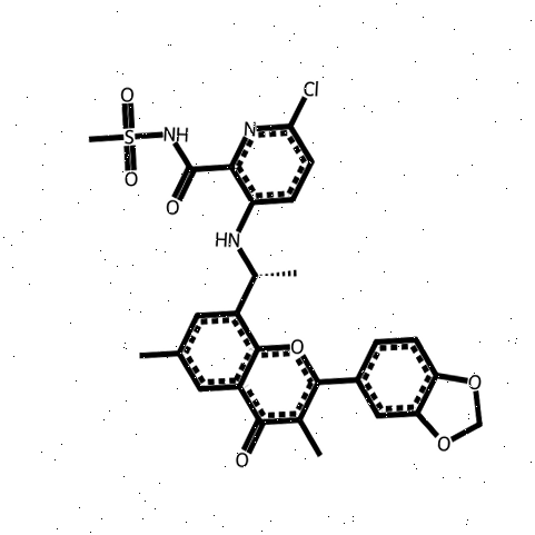 Cc1cc([C@@H](C)Nc2ccc(Cl)nc2C(=O)NS(C)(=O)=O)c2oc(-c3ccc4c(c3)OCO4)c(C)c(=O)c2c1